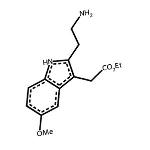 CCOC(=O)Cc1c(CCN)[nH]c2ccc(OC)cc12